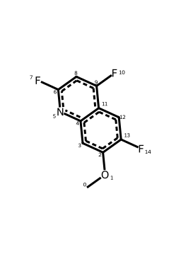 COc1cc2nc(F)cc(F)c2cc1F